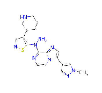 Cn1cc(-c2cnc3c(N(N)c4sncc4C4CCCNC4)nccn23)cn1